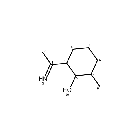 CC(=N)C1CCCC(C)C1O